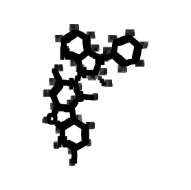 CB1c2c(oc3nc(C)ccc23)C=C(C)N1N1c2ncccc2N(c2ccccc2)[C@@H]1C